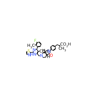 CCOC(=O)C1=C(CN2CC[C@@H]3C(=O)N(c4ccc(CC(C)C(=O)O)cc4)C[C@@H]3C2)NC(c2nccs2)=NC1c1cccc(F)c1C